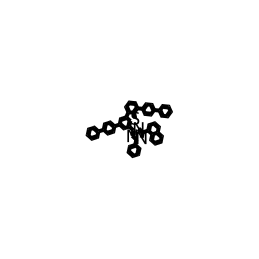 c1ccc(-c2ccc(-c3cc(-c4nc(-c5ccccc5)nc(-c5cccc6ccccc56)n4)c4sc5c(-c6ccc(-c7ccccc7)cc6)cccc5c4c3)cc2)cc1